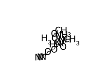 CC[C@@H](NC(=O)[C@H](C)NC(C)=O)C(=O)NCCOCCOCCN=[N+]=[N-]